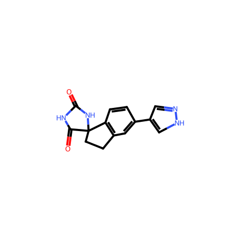 O=C1NC(=O)C2(CCc3cc(-c4cn[nH]c4)ccc32)N1